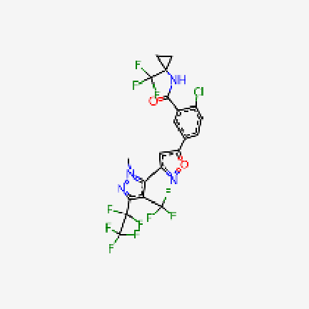 Cn1nc(C(F)(F)C(F)(F)F)c(C(F)(F)F)c1-c1cc(-c2ccc(Cl)c(C(=O)NC3(C(F)(F)F)CC3)c2)on1